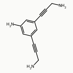 NCC#Cc1cc(N)cc(C#CCN)c1